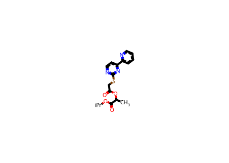 CC(C)OC(=O)C(C)OC(=O)CSc1nccc(-c2ccccn2)n1